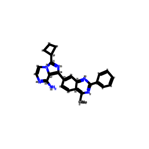 COc1nc(-c2ccccc2)nc2cc(-c3nc(C4CCC4)n4ccnc(N)c34)ccc12